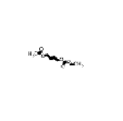 CCOC(=O)OCC=CCOC(C)=O